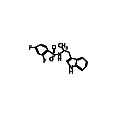 CC(Cc1c[nH]c2ccccc12)NS(=O)(=O)c1ccc(F)cc1F